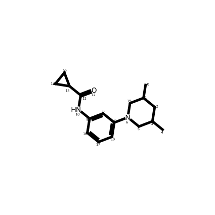 CC1CC(C)CN(c2[c]c(NC(=O)C3CC3)ccc2)C1